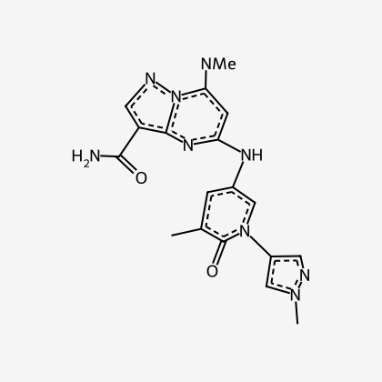 CNc1cc(Nc2cc(C)c(=O)n(-c3cnn(C)c3)c2)nc2c(C(N)=O)cnn12